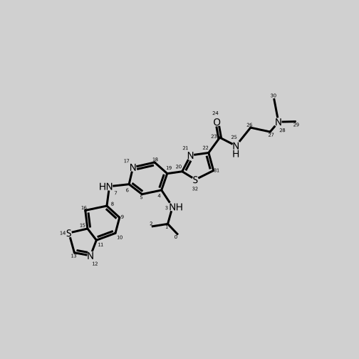 CC(C)Nc1cc(Nc2ccc3ncsc3c2)ncc1-c1nc(C(=O)NCCN(C)C)cs1